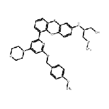 COCC(CO)Nc1ccc2c(c1)Sc1cccc(-c3cc(N4CCOCC4)cc(OCc4ccc(OC)cc4)n3)c1O2